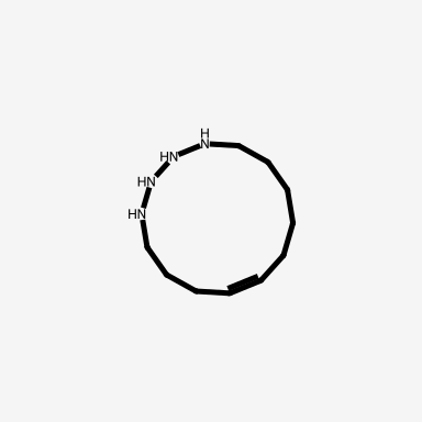 C1=CCCCNNNNCCCCC1